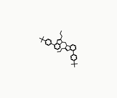 CCCC1=Cc2c(-c3ccc(C(C)(C)C)cc3)cccc2C1CC1C(CCC)=Cc2c(-c3ccc(C(C)(C)C)cc3)cccc21